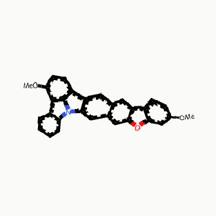 COc1ccc2c(c1)oc1cc3cc4c(cc3cc12)c1ccc(OC)c2c3ccccc3n4c12